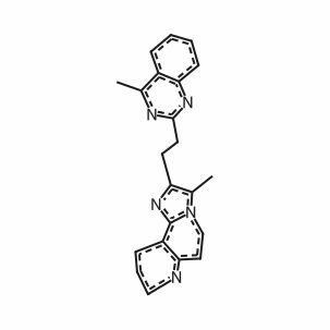 Cc1nc(CCc2nc3c4cccnc4ccn3c2C)nc2ccccc12